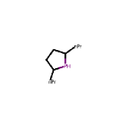 CCCC1CCC(CCC)P1